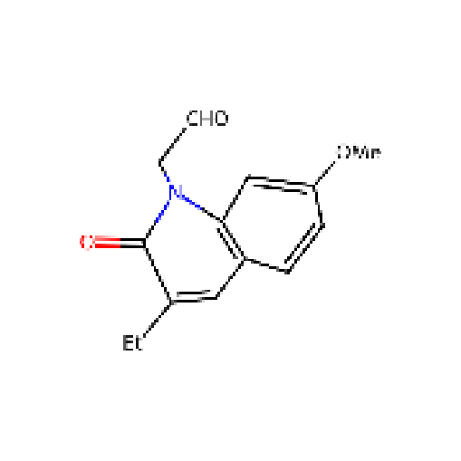 CCc1cc2ccc(OC)cc2n(CC=O)c1=O